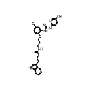 N#Cc1ccc(NC(=O)Nc2cc(Cl)ccc2OCCCNC(=O)CCCc2c[nH]c3ccccc23)nc1